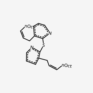 CCCCCCCC/C=C\Cc1cccnc1Sc1ncccc1C/C=C\CCCCCCCC